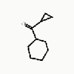 O=C(C1CCCCC1)C1CC1